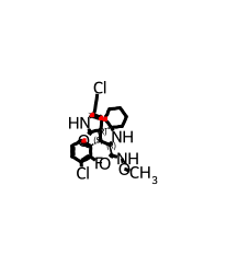 CONC(=O)[C@@H]1NC2(CCCCC2)[C@@]2(C(=O)Nc3cc(Cl)ccc32)[C@H]1c1cccc(Cl)c1F